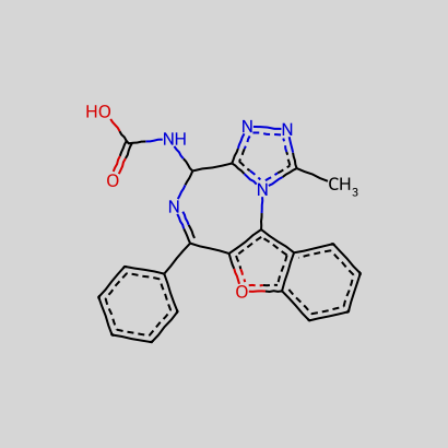 Cc1nnc2n1-c1c(oc3ccccc13)C(c1ccccc1)=NC2NC(=O)O